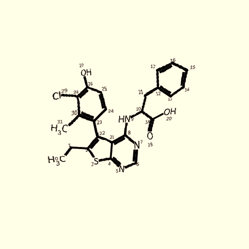 CCc1sc2ncnc(NC(Cc3ccccc3)C(=O)O)c2c1-c1ccc(O)c(Cl)c1C